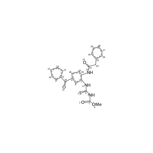 COC(=O)NC(=S)Nc1cc(C(=O)c2ccccc2)ccc1NC(=O)Cc1ccccc1